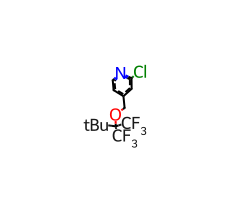 CC(C)(C)C(OCc1ccnc(Cl)c1)(C(F)(F)F)C(F)(F)F